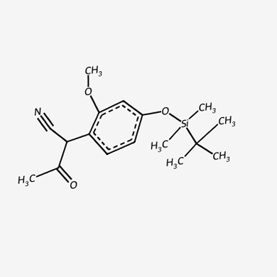 COc1cc(O[Si](C)(C)C(C)(C)C)ccc1C(C#N)C(C)=O